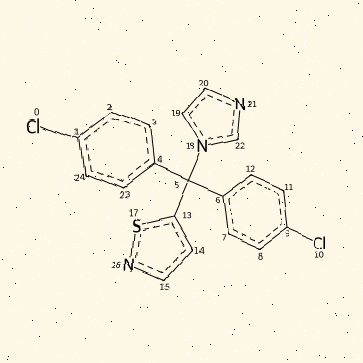 Clc1ccc(C(c2ccc(Cl)cc2)(c2ccns2)n2ccnc2)cc1